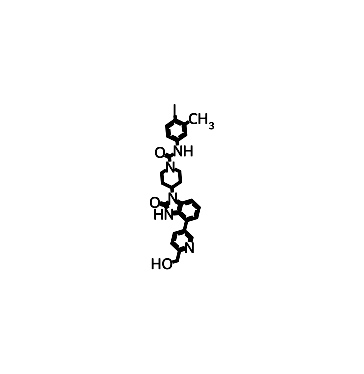 Cc1cc(NC(=O)N2CCC(n3c(=O)[nH]c4c(-c5ccc(CO)nc5)cccc43)CC2)ccc1I